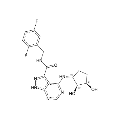 O=C(NCc1cc(F)ccc1F)c1n[nH]c2ncnc(N[C@@H]3CC[C@@H](O)[C@H]3O)c12